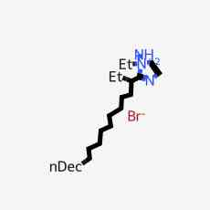 CCCCCCCCCCCCCCCCCCCC(CC)C1=NC=C[N+]1(N)CC.[Br-]